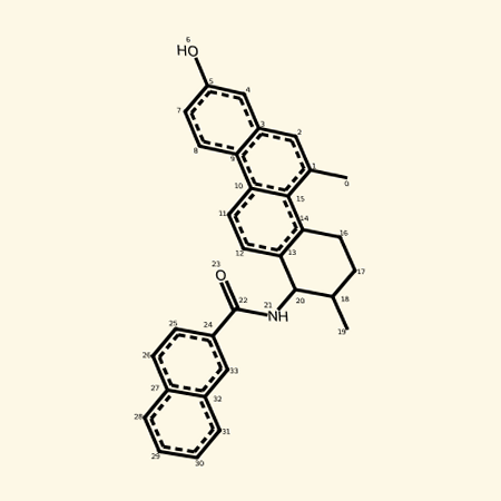 Cc1cc2cc(O)ccc2c2ccc3c(c12)CCC(C)C3NC(=O)c1ccc2ccccc2c1